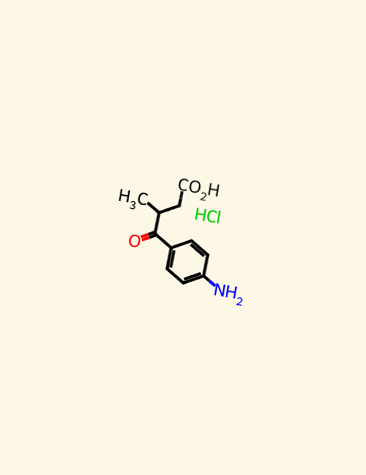 CC(CC(=O)O)C(=O)c1ccc(N)cc1.Cl